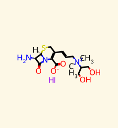 C[N+](C)(CC=CC1=C(C(=O)[O-])N2C(=O)[C@@H](N)[C@H]2SC1)C(CO)CO.I